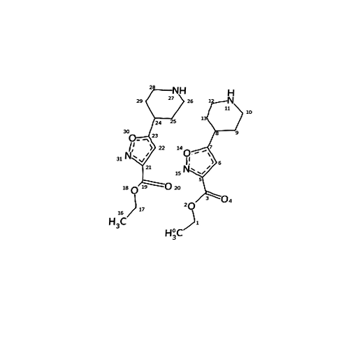 CCOC(=O)c1cc(C2CCNCC2)on1.CCOC(=O)c1cc(C2CCNCC2)on1